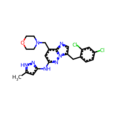 Cc1cc(Nc2cc(CN3CCOCC3)c3ncc(Cc4ccc(Cl)cc4Cl)n3n2)n[nH]1